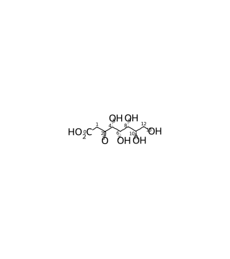 O=C(O)CC(=O)[C@H](O)[C@@H](O)[C@H](O)[C@H](O)CO